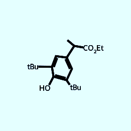 C[CH]OC(=O)C(C)c1cc(C(C)(C)C)c(O)c(C(C)(C)C)c1